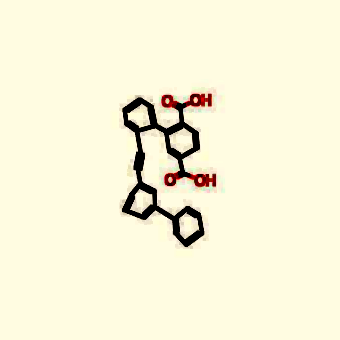 O=C(O)c1ccc(C(=O)O)c(-c2ccccc2C#Cc2cccc(-c3ccccc3)c2)c1